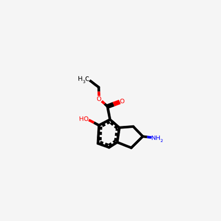 CCOC(=O)c1c(O)ccc2c1CC(N)C2